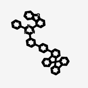 c1ccc(-c2nc(-c3cccc(-c4ccc(-c5cccc6c5-c5ccccc5C65c6ccccc6-c6ccccc65)cc4)c3)nc(-c3cccc4oc5ccccc5c34)n2)cc1